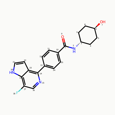 O=C(N[C@H]1CC[C@H](O)CC1)c1ccc(-c2ncc(F)c3[nH]ccc23)cc1